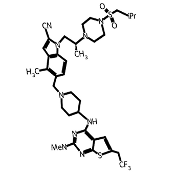 CNc1nc(NC2CCN(Cc3ccc4c(cc(C#N)n4C[C@H](C)N4CCN(S(=O)(=O)CC(C)C)CC4)c3C)CC2)c2cc(CC(F)(F)F)sc2n1